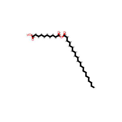 CCCCCCCCCCCCCCCCCCCCCC(=O)OC(=O)CCCCCCCCC(=O)O